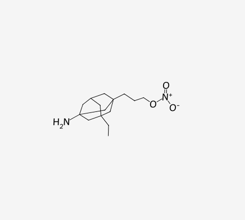 CCC12CC3CC(N)(C1)CC(CCCO[N+](=O)[O-])(C3)C2